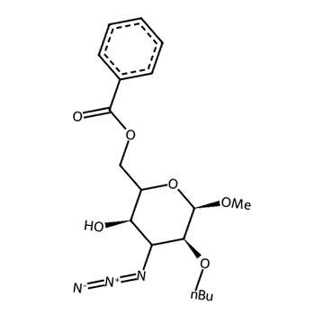 CCCCO[C@H]1C(N=[N+]=[N-])[C@@H](O)C(COC(=O)c2ccccc2)O[C@H]1OC